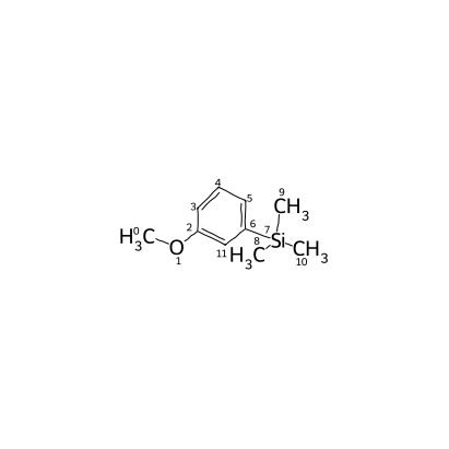 COc1cccc([Si](C)(C)C)c1